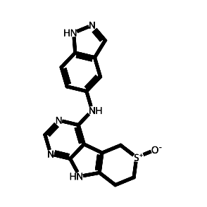 [O-][S+]1CCc2[nH]c3ncnc(Nc4ccc5[nH]ncc5c4)c3c2C1